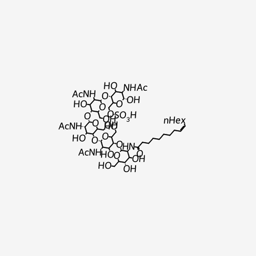 CCCCCC/C=C\CCCCCCCC(=O)NC1C(O)[C@H](O)C(CO)O[C@H]1O[C@@H]1C(CO)O[C@@H](O[C@@H]2C(CO)O[C@@H](O[C@@H]3C(CO)O[C@@H](O[C@H]4C(COS(=O)(=O)O)O[C@@H](O)C(NC(C)=O)C4O)C(NC(C)=O)C3O)[C@@H](NC(C)=O)C2O)C(NC(C)=O)C1O